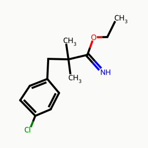 CCOC(=N)C(C)(C)Cc1ccc(Cl)cc1